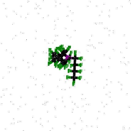 FC(F)(F)C(F)(F)C(F)(F)C(F)(F)P(F)(F)(C(F)(F)C(F)(C(F)(F)F)C(F)(F)F)C(F)(F)C(F)(C(F)(F)F)C(F)(F)F